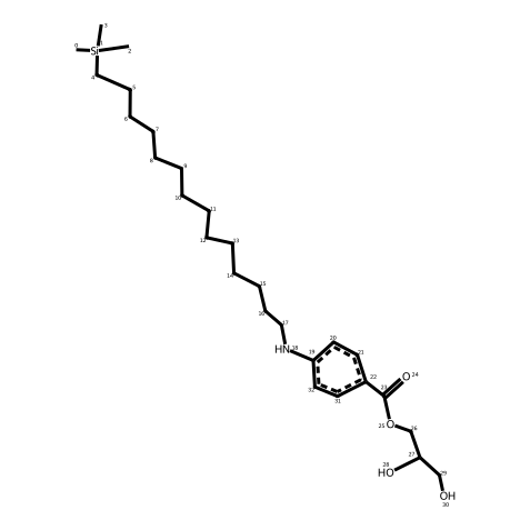 C[Si](C)(C)CCCCCCCCCCCCCCNc1ccc(C(=O)OCC(O)CO)cc1